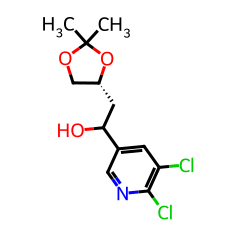 CC1(C)OC[C@@H](CC(O)c2cnc(Cl)c(Cl)c2)O1